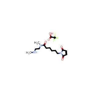 CNCCN(C)C(=O)CCCCCN1C(=O)C=CC1=O.O=C(O)C(F)(F)F